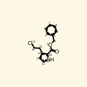 O=C(OCc1ccccc1)c1[nH]ccc1CCCl